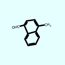 Cc1ccc(C=O)c2ccccc12